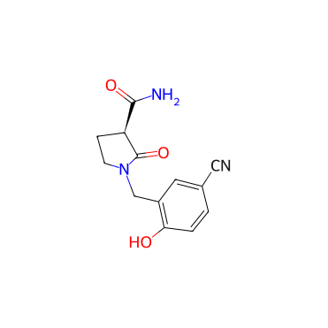 N#Cc1ccc(O)c(CN2CC[C@@H](C(N)=O)C2=O)c1